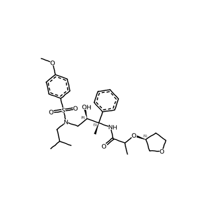 COc1ccc(S(=O)(=O)N(CC(C)C)C[C@@H](O)[C@@](C)(NC(=O)C(C)O[C@H]2CCOC2)c2ccccc2)cc1